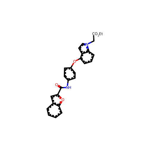 CCOC(=O)Cn1ccc2c(Oc3ccc(NC(=O)c4cc5ccccc5o4)cc3)cccc21